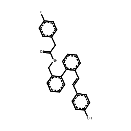 O=C(Cc1ccc(F)cc1)NCc1ccccc1-c1ccccc1/C=C/c1ccc(O)cc1